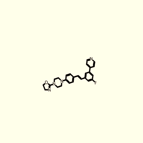 Fc1cc(C=Cc2ccc(N3CCN(C4=NCCO4)CC3)cc2)cc(-c2ccncc2)c1